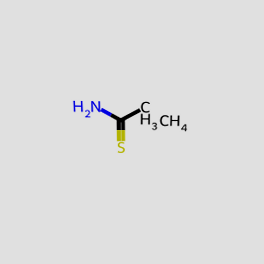 C.CC(N)=S